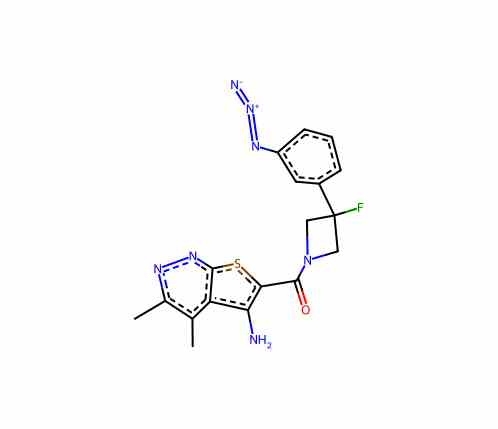 Cc1nnc2sc(C(=O)N3CC(F)(c4cccc(N=[N+]=[N-])c4)C3)c(N)c2c1C